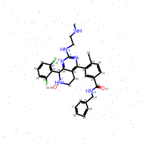 CNCCNc1nc(-c2cc(C(=O)NCc3ccccc3)ccc2C)c2c(n1)C(c1c(F)cccc1F)[NH+]([O-])CC2